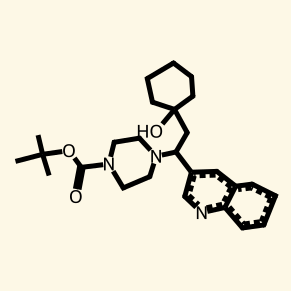 CC(C)(C)OC(=O)N1CCN(C(CC2(O)CCCCC2)c2cnc3ccccc3c2)CC1